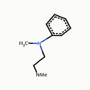 CNCCN(C)c1c[c]ccc1